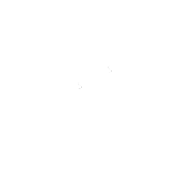 CC=CC1SC=CS1